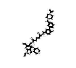 CCc1nc2c(cnn2CC)c(NC2CCOCC2)c1CNC(=O)CCCC(=O)NCc1ccc(F)c(-c2cccc(CN3CCN(C(C)C)CC3)c2)c1